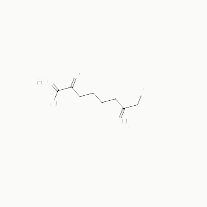 C=C(CCCCC(=O)C(=C)C)CC(C)=O